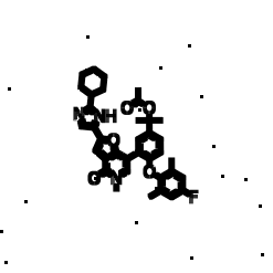 CC(=O)OC(C)(C)c1ccc(Oc2c(C)cc(F)cc2C)c(-c2cn(C)c(=O)c3cc(-c4cnc(C5CCCCC5)[nH]4)oc23)c1